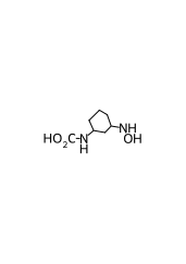 O=C(O)NC1CCCC(NO)C1